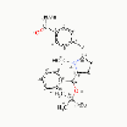 CNC(=O)c1ccc(C[C@@H]2CC[C@H](C(O[Si](C)(C)C(C)(C)C)c3ccccc3)N2C(=O)O)cc1